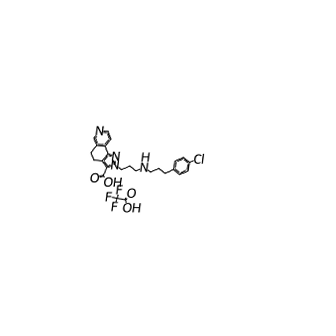 O=C(O)C(F)(F)F.O=C(O)c1c2c(nn1CCCNCCCc1ccc(Cl)cc1)-c1ccncc1CC2